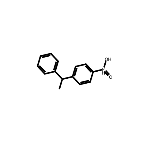 CC(c1ccccc1)c1ccc([PH](=O)O)cc1